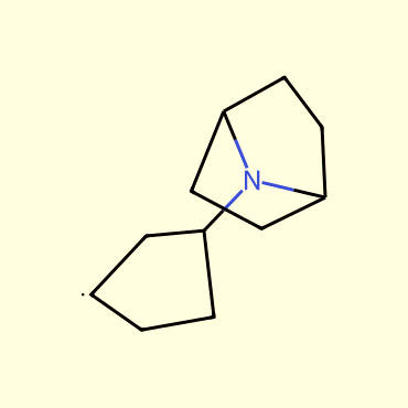 [CH]1CCC(N2C3CCC2CC3)C1